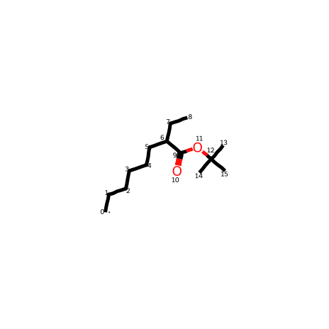 [CH2]CCCCCC(CC)C(=O)OC(C)(C)C